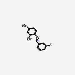 Fc1cccc(/C=N/c2ccc(Br)cc2Br)c1